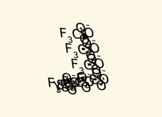 O=S(=O)([O-])C(F)(F)F.O=S(=O)([O-])C(F)(F)F.O=S(=O)([O-])C(F)(F)F.O=S(=O)([O-])C(F)(F)F.O=S(=O)([O-])C(F)(F)F.O=S(=O)([O-])C(F)(F)F.[Sc+3].[Yb+3]